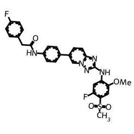 COc1cc(S(C)(=O)=O)c(F)cc1Nc1nc2ccc(-c3ccc(NC(=O)Cc4ccc(F)cc4)cc3)cn2n1